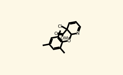 COC(=O)C1(Cl)C=CC=NC1Oc1c(C)cc(C)cc1C